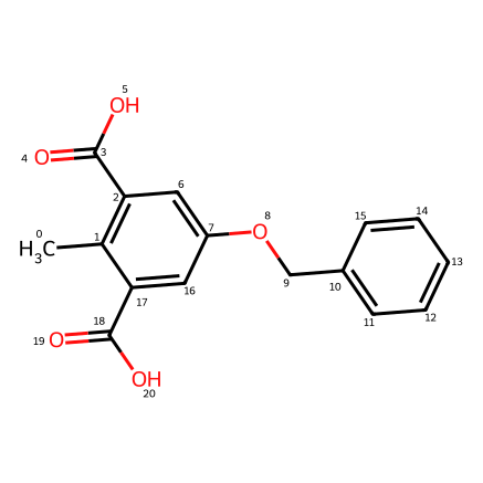 Cc1c(C(=O)O)cc(OCc2ccccc2)cc1C(=O)O